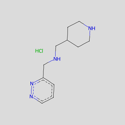 Cl.c1cnnc(CNCC2CCNCC2)c1